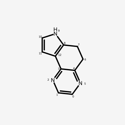 c1cnc2c(n1)CCc1[nH]ccc1-2